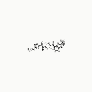 CCn1cc(C(=O)NC2CCC(Nc3cccc4nc(C(F)(F)F)cn34)CC2)cn1